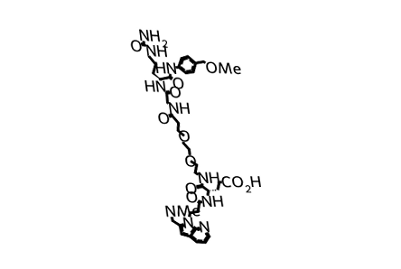 CNCc1cc2cccnc2n1CCC(=O)N[C@@H](CCC(=O)O)C(=O)NCCOCCOCCC(=O)NCC(=O)N[C@@H](CCCNC(N)=O)C(=O)Nc1ccc(COC)cc1